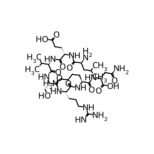 CC(C)C[C@H](N)C(=O)N[C@@H](CCC(=O)O)C(=O)N[C@H](C(=O)N[C@@H](CO)C(=O)N[C@@H](CCCNC(=N)N)C(=O)N[C@@H](CCCCN)C(=O)N[C@@H](CC(N)=O)C(=O)O)C(C)C